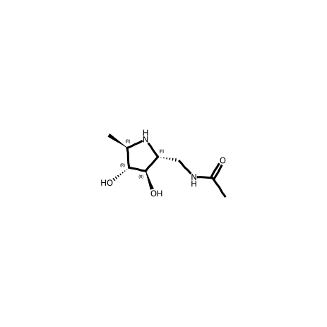 CC(=O)NC[C@H]1N[C@H](C)[C@@H](O)[C@@H]1O